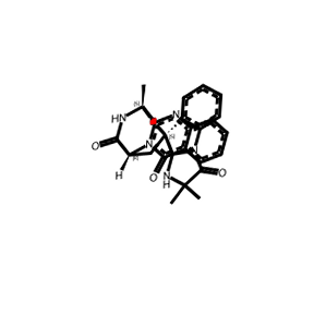 CC1(C)NC2N(C1=O)c1ccccc1[C@@]21C[C@@H]2C(=O)N[C@@](C)(O1)c1nc3ccccc3c(=O)n12